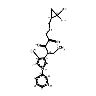 CCN(C(=O)C(=N)CSCC1CC1(F)F)c1cn(-c2cccnc2)nc1Cl